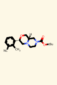 Cc1c(C#N)cccc1[C@H]1CN2CCN(C(=O)OC(C)(C)C)C[C@H]2CO1